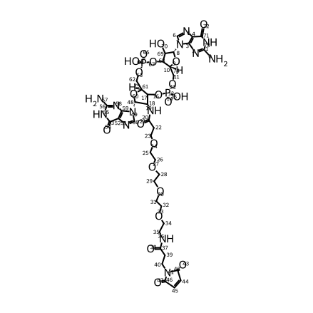 Nc1nc2c(ncn2[C@@H]2O[C@@H]3COP(=O)(O)OC4C(NC(=O)CCOCCOCCOCCOCCNC(=O)CCN5C(=O)C=CC5=O)[C@H](n5cnc6c(=O)[nH]c(N)nc65)O[C@@H]4COP(=O)(O)OC3C2O)c(=O)[nH]1